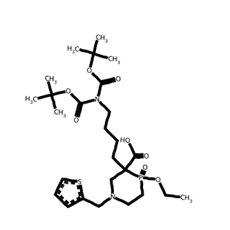 CCOP1(=O)CCN(Cc2cccs2)CC1(CCCCN(C(=O)OC(C)(C)C)C(=O)OC(C)(C)C)C(=O)O